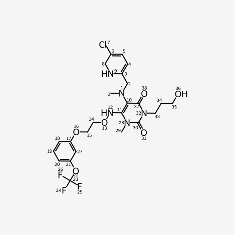 CN(CC1=CC=C(Cl)CN1)c1c(NOCCOc2cccc(OC(F)(F)F)c2)n(C)c(=O)n(CCCO)c1=O